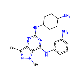 CC(C)c1nn(C(C)C)c2c(Nc3cccc(N)c3)nc(NC3CCC(N)CC3)nc12